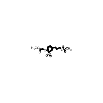 COC(=O)COc1ccc(CCCOS(C)(=O)=O)cc1[N+](=O)[O-]